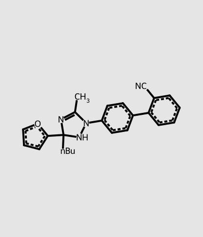 CCCCC1(c2ccco2)N=C(C)N(c2ccc(-c3ccccc3C#N)cc2)N1